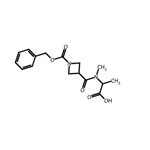 CC(C(=O)O)N(C)C(=O)C1CN(C(=O)OCc2ccccc2)C1